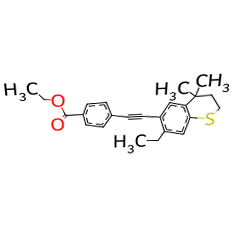 CCOC(=O)c1ccc(C#Cc2cc3c(cc2CC)SCCC3(C)C)cc1